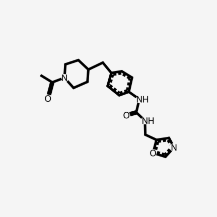 CC(=O)N1CCC(Cc2ccc(NC(=O)NCc3cnco3)cc2)CC1